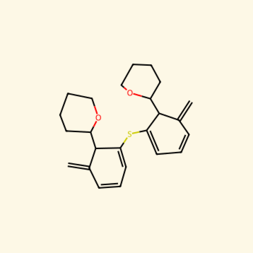 C=C1C=CC=C(SC2=CC=CC(=C)C2C2CCCCO2)C1C1CCCCO1